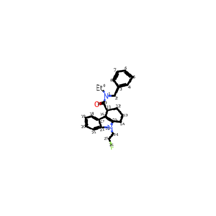 CCN(Cc1ccccc1)C(=O)C1CCCc2c1c1ccccc1n2CCF